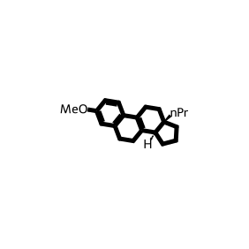 CCC[C@@]12CCC[C@H]1C1=C(CC2)c2ccc(OC)cc2CC1